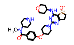 CN(C(=O)c1ccc(OC2CCN(c3nc4c(c(NC5CCOCC5)n3)[S+]([O-])CC4)CC2)cc1)C1CCNCC1